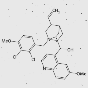 C=CC1C[N+]2(Cc3ccc(OC)c(Cl)c3Cl)CCC1CC2[C@H](O)c1ccnc2ccc(OC)cc12